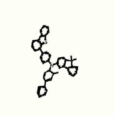 CC1C=C(c2c#cccc2)C=CC1N(c1ccc(-c2cccc3c2sc2ccccc23)cc1)c1ccc2c(c1)-c1ccccc1C2(C)C